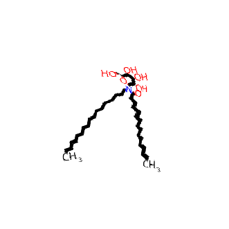 CCCCCCCCCCCCCCCCCCN(C(=O)CCCCCCCCCCCCCCC)[C@@H]1O[C@H](CO)[C@@H](O)[C@H](O)[C@H]1O